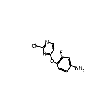 Nc1ccc(Oc2ccnc(Cl)n2)c(F)c1